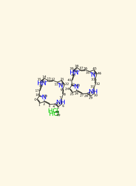 C1=Cc2cc3ccc(cc4nc(cc5ccc(cc1n2)[nH]5)C=C4)[nH]3.C1=Cc2cc3ccc(cc4nc(cc5ccc(cc1n2)[nH]5)C=C4)[nH]3.Cl.Cl